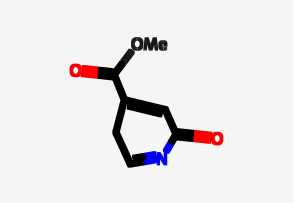 COC(=O)C1=CC(=O)N=CC1